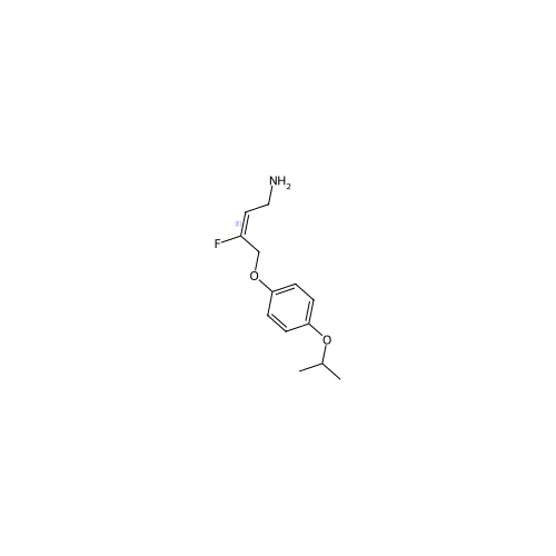 CC(C)Oc1ccc(OC/C(F)=C\CN)cc1